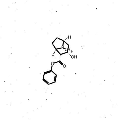 CN1[C@H]2CC[C@@H]1[C@@H](C(=O)Oc1ccccc1)[C@@H](O)C2